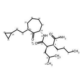 CCCC[C@H](C(N)=O)[C@@H](CC(C)C)C(=O)N[C@H]1CCCCN(CCC2CC2)C1=O